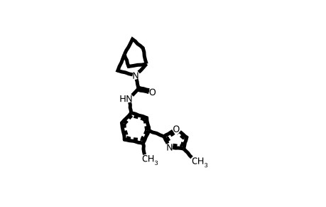 Cc1coc(-c2cc(NC(=O)N3CC4CCC3C4)ccc2C)n1